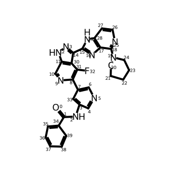 O=C(Nc1cncc(-c2ncc3[nH]nc(-c4nc5c(N6CCCCC6)nccc5[nH]4)c3c2F)c1)c1ccccc1